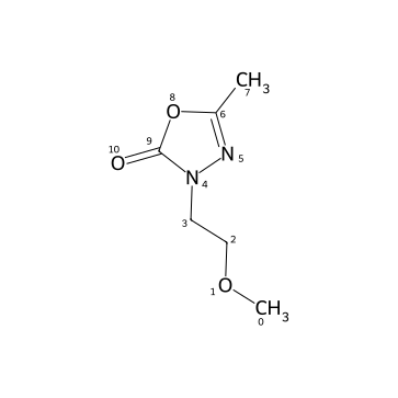 COCCn1nc(C)oc1=O